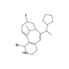 CC(C1=CC2=C(C3=CCC(F)CC1C3C)C(Br)NCC2)C1CCCC1